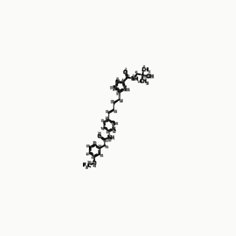 CC(C)(O)CNC(=O)c1nnc(CCCCc2ccc(NC(=O)Cc3cccc(OC(F)(F)F)c3)nn2)s1